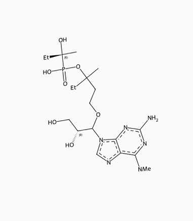 CCC(C)(CCOC([C@H](O)CO)n1cnc2c(NC)nc(N)nc21)OP(=O)(O)[C@@](C)(O)CC